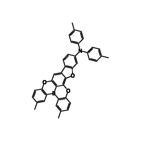 Cc1ccc(N(c2ccc(C)cc2)c2ccc3c(c2)oc2c4c5c(cc23)Oc2ccc(C)cc2B5c2cc(C)ccc2O4)cc1